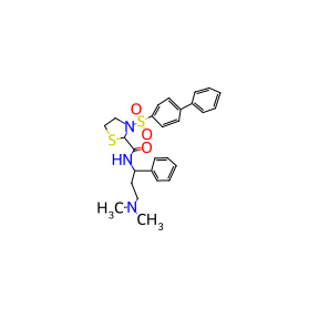 CN(C)CCC(NC(=O)C1SCCN1S(=O)(=O)c1ccc(-c2ccccc2)cc1)c1ccccc1